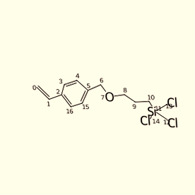 C=Cc1ccc(COCCC[Si](Cl)(Cl)Cl)cc1